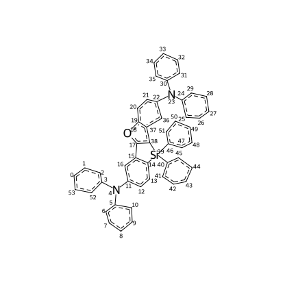 c1ccc(N(c2ccccc2)c2ccc3c(c2)-c2oc4ccc(N(c5ccccc5)c5ccccc5)cc4c2[Si]3(c2ccccc2)c2ccccc2)cc1